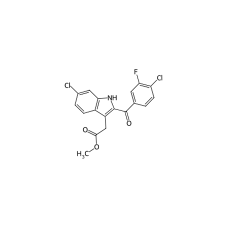 COC(=O)Cc1c(C(=O)c2ccc(Cl)c(F)c2)[nH]c2cc(Cl)ccc12